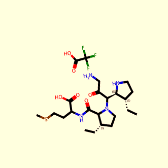 CC[C@H]1CCN(C(C(=O)CN)[C@H]2NCC[C@@H]2CC)C1C(=O)NC(CCSC)C(=O)O.O=C(O)C(F)(F)F